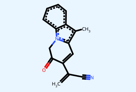 C=C(C#N)C1=Cc2c(C)c3ccccc3n2CC1=O